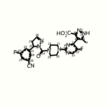 Cc1[nH]nc(C(=O)O)c1-c1nc(N2CCN(C(=O)N3N=CCC3c3cc(F)cc(C#N)c3)CC2)ncc1F